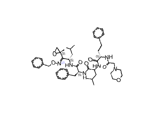 CC(C)CC(NC(=O)[C@H](CCc1ccccc1)NC(=O)CN1CCOCC1)C(=O)N[C@@H](Cc1ccccc1)C(=O)N[C@@H](CC(C)C)/C(=N/OCc1ccccc1)[C@@]1(C)CO1